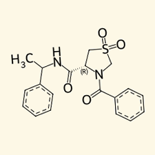 CC(NC(=O)[C@@H]1CS(=O)(=O)CN1C(=O)c1ccccc1)c1ccccc1